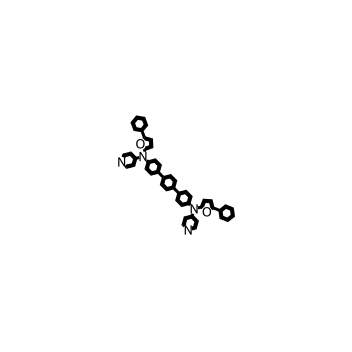 c1ccc(-c2ccc(N(c3ccncc3)c3ccc(-c4ccc(-c5ccc(N(c6ccncc6)c6ccc(-c7ccccc7)o6)cc5)cc4)cc3)o2)cc1